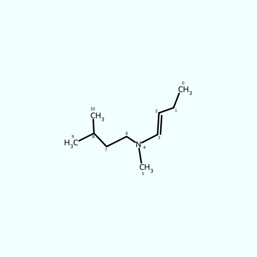 CCC=CN(C)CCC(C)C